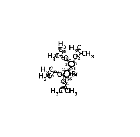 CCC(C)COc1ccc(-c2cc(OCC(C)CC)c(OCC(C)CC)cc2Br)cc1OCC(C)CC